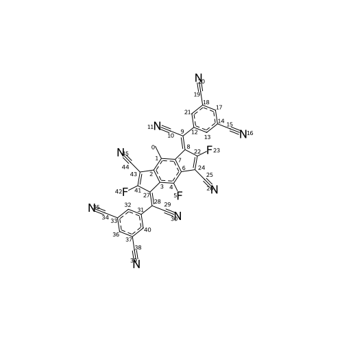 Cc1c2c(c(F)c3c1/C(=C(\C#N)c1cc(C#N)cc(C#N)c1)C(F)=C3C#N)/C(=C(\C#N)c1cc(C#N)cc(C#N)c1)C(F)=C2C#N